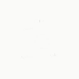 CC(=O)OCc1cc(C(=O)C=O)ccc1OC(C)=O